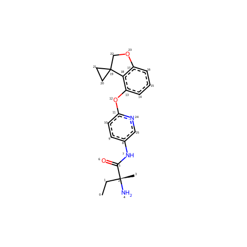 CC[C@@](C)(N)C(=O)Nc1ccc(Oc2cccc3c2C2(CC2)CO3)nc1